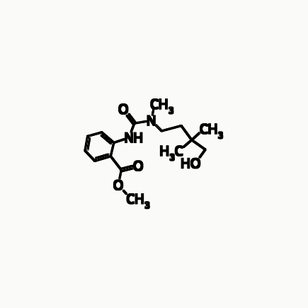 COC(=O)c1ccccc1NC(=O)N(C)CCC(C)(C)CO